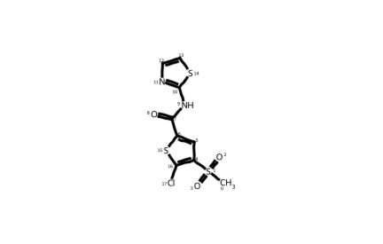 CS(=O)(=O)c1cc(C(=O)Nc2nccs2)sc1Cl